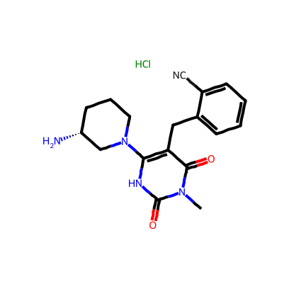 Cl.Cn1c(=O)[nH]c(N2CCC[C@@H](N)C2)c(Cc2ccccc2C#N)c1=O